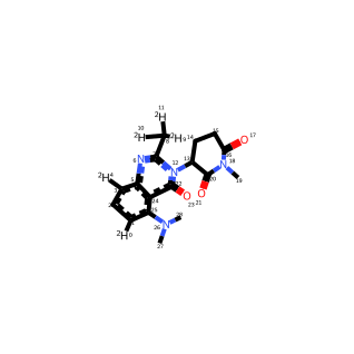 [2H]c1cc([2H])c2nc(C([2H])([2H])[2H])n(C3CCC(=O)N(C)C3=O)c(=O)c2c1N(C)C